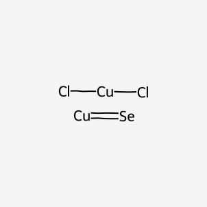 [Cl][Cu][Cl].[Cu]=[Se]